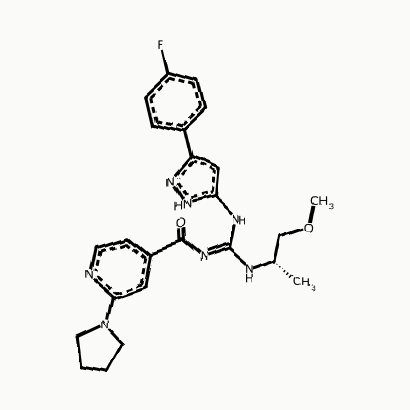 COC[C@H](C)N/C(=N/C(=O)c1ccnc(N2CCCC2)c1)Nc1cc(-c2ccc(F)cc2)n[nH]1